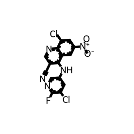 N#Cc1cnc2c(Cl)cc([N+](=O)[O-])cc2c1Nc1cnc(F)c(Cl)c1